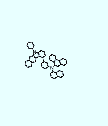 c1ccc(-n2c3cc4ccccc4cc3c3c(-c4cccc(N(c5cccc6ccccc56)c5cc6ccccc6c6ccccc56)c4)cccc32)cc1